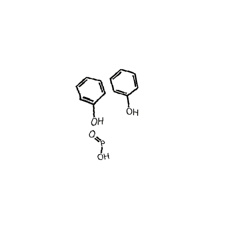 O=PO.Oc1ccccc1.Oc1ccccc1